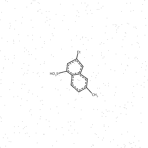 CCc1cc(S(=O)(=O)O)c2ccc(C)cc2c1